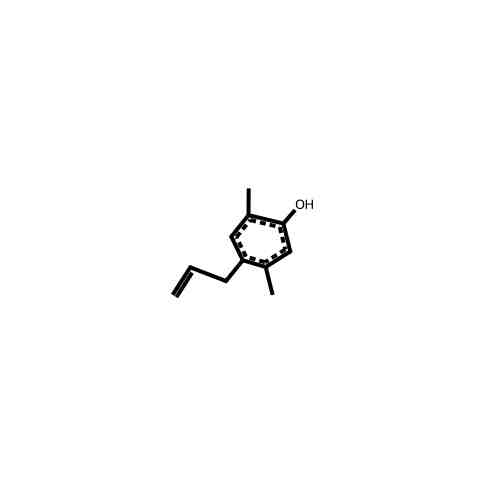 C=CCc1cc(C)c(O)cc1C